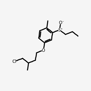 CCC[S+]([O-])c1cc(OCCC(C)CCl)ccc1C